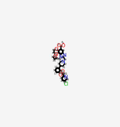 COC(=O)c1cc2nc(CN3CCC(c4cccc5c4O[C@@](C)(c4ccc(Cl)cn4)O5)CC3)n(C[C@@H]3CCO3)c2c2c1OCCO2